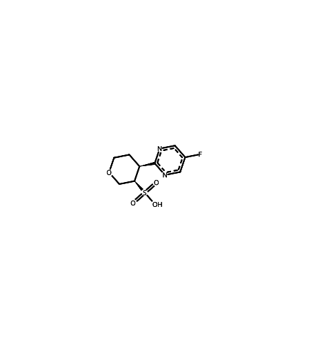 O=S(=O)(O)[C@H]1COCC[C@H]1c1ncc(F)cn1